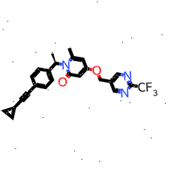 Cc1cc(OCc2cnc(C(F)(F)F)nc2)cc(=O)n1[C@H](C)c1ccc(C#CC2CC2)cc1